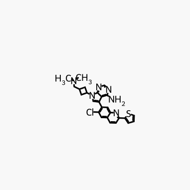 CN(C)CC1CC(n2cc(-c3cc4nc(-c5cccs5)ccc4cc3Cl)c3c(N)ncnc32)C1